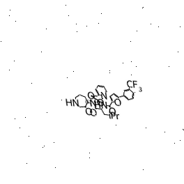 CC(C)CC(NC(=O)c1ccc(-c2cccc(C(F)(F)F)c2)o1)C(=O)N([C@H]1CCCNCC1=O)S(=O)(=O)c1ccccn1